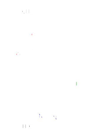 CCOC(=O)c1ccc(F)c(-c2cnn(C)c2)c1